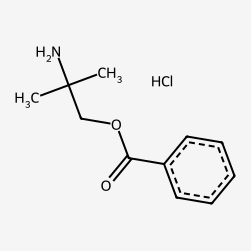 CC(C)(N)COC(=O)c1ccccc1.Cl